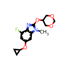 Cn1c(OC2COCOC2)nc2c(F)cc(OC3CC3)cc21